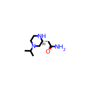 CC(C)N1CCN[C@H](CC(N)=O)C1